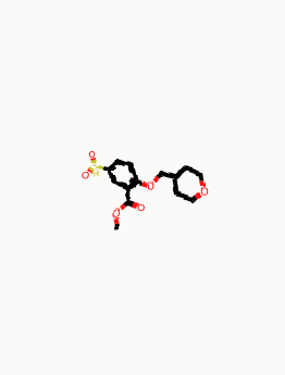 COC(=O)c1cc([SH](=O)=O)ccc1OCC1CCOCC1